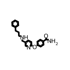 NC(=O)c1ccc(Oc2ccc(CNCCCc3ccccc3)cn2)cc1